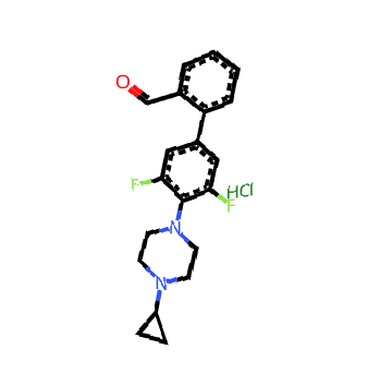 Cl.O=Cc1ccccc1-c1cc(F)c(N2CCN(C3CC3)CC2)c(F)c1